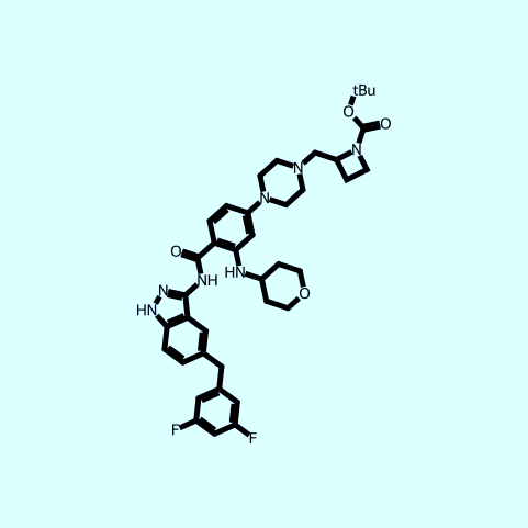 CC(C)(C)OC(=O)N1CCC1CN1CCN(c2ccc(C(=O)Nc3n[nH]c4ccc(Cc5cc(F)cc(F)c5)cc34)c(NC3CCOCC3)c2)CC1